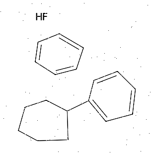 F.c1ccc(C2CCCCC2)cc1.c1ccccc1